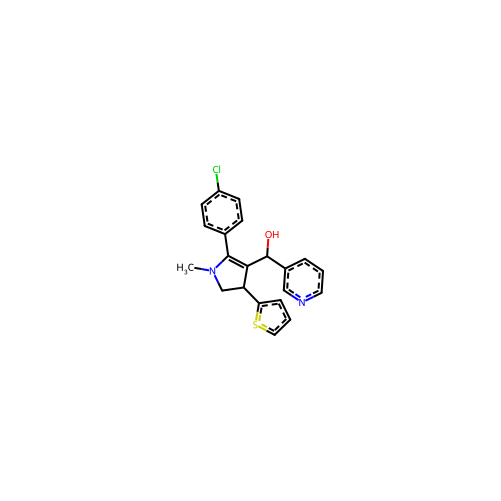 CN1CC(c2cccs2)C(C(O)c2cccnc2)=C1c1ccc(Cl)cc1